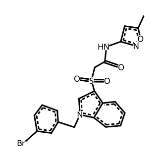 Cc1cc(NC(=O)CS(=O)(=O)c2cn(Cc3cccc(Br)c3)c3ccccc23)no1